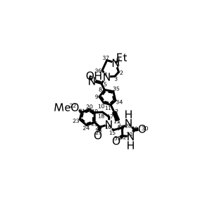 CCN1CCN(C(=NO)c2ccc(C#C[C@]3(CN4CCc5cc(OC)ccc5C4=O)NC(=O)NC3=O)cc2)CC1